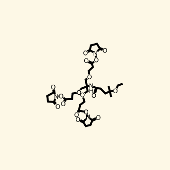 CCOC(C)(C)CCC(=O)NC(COCCC(=O)ON1C(=O)CCC1=O)(COCCC(=O)ON1C(=O)CCC1=O)COCCC(=O)ON1C(=O)CCC1=O